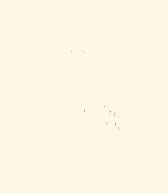 CCCCC/C=C\C/C=C\CCCCCCCC(=O)OCCCCCC(C(=O)NCC(=O)OC(C)(C)C)N(CCN(C)C)C(=O)CCCCC(=O)OC(CCCCCCCC)CCCCCCCC